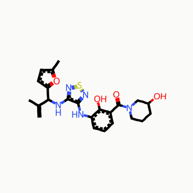 C=C(C)C(Nc1nsnc1Nc1cccc(C(=O)N2CCCC(O)C2)c1O)c1ccc(C)o1